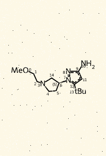 COCCN1CC[C@H](n2nc(N)cc2C(C)(C)C)C1